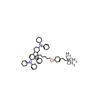 CC(C)(C)CCC1=CCC(OCCCCCC2(C3=CC=CCC3)C3CC(N(C4=CCCC=C4)C4CCCCC4)CCC3C3C=CC(N(C4=CCCCC4)C4C=CCCC4)C[C@@H]32)CC1